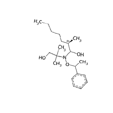 CCCCC[C@@H](C)C(O)N(OC(C)c1ccccc1)C(C)(C)CO